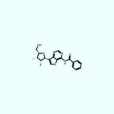 C[C@H]1[C@@H](F)[C@H](c2csc3c(NC(=O)c4ccccc4)ncnc23)O[C@@H]1CO